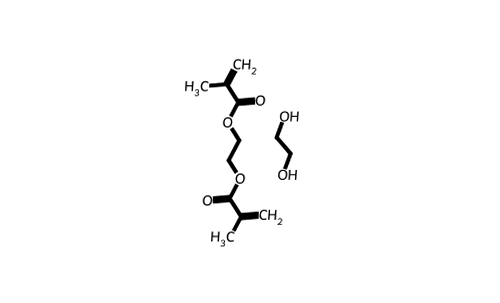 C=C(C)C(=O)OCCOC(=O)C(=C)C.OCCO